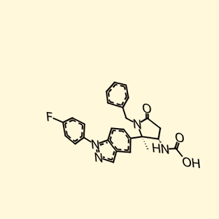 C[C@@]1(c2ccc3c(cnn3-c3ccc(F)cc3)c2)[C@@H](NC(=O)O)CC(=O)N1Cc1ccccc1